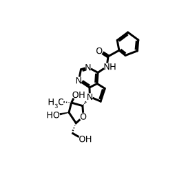 C[C@@]1(O)[C@H](O)[C@@H](CO)O[C@H]1n1ccc2c(NC(=O)c3ccccc3)ncnc21